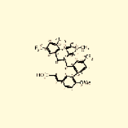 COc1ccc(/C=C/C(=O)O)cc1-c1ccc(C(F)(F)F)cc1CN(Cc1cc(C(F)(F)F)cc(C(F)(F)F)c1)c1nnn(C)n1